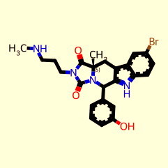 CNCCCN1C(=O)N2C(c3cccc(O)c3)c3[nH]c4ccc(Br)cc4c3C[C@@]2(C)C1=O